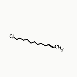 [CH2]C=CCCCCCCCCCCl